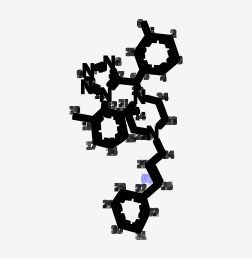 Cc1cccc(C(c2nnnn2-c2c(C)cccc2C)N2CCN(C/C=C/c3ccccc3)CC2)c1